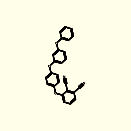 N#Cc1cccc(Oc2ccc(Oc3cccc(Oc4ccccc4)c3)cc2)c1C#N